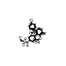 O=S(=O)(CF)N[C@@H]1CC[C@@]2(S(=O)(=O)c3ccc(Cl)cc3)c3c(F)ccc(F)c3OC[C@@]2(O)C1